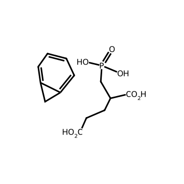 O=C(O)CCC(CP(=O)(O)O)C(=O)O.c1ccc2c(c1)C2